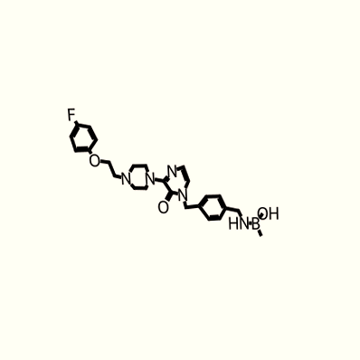 CB(O)NCc1ccc(Cn2ccnc(N3CCN(CCOc4ccc(F)cc4)CC3)c2=O)cc1